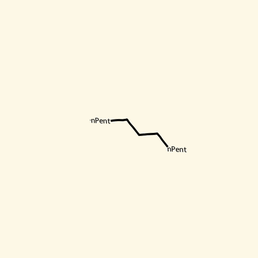 [CH2]CCC[CH]CCCCCCCC